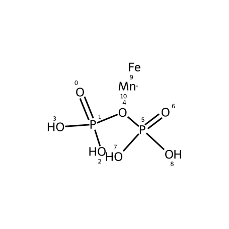 O=P(O)(O)OP(=O)(O)O.[Fe].[Mn]